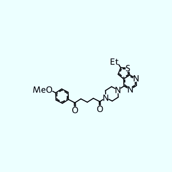 CCc1cc2c(N3CCN(C(=O)CCCC(=O)c4ccc(OC)cc4)CC3)ncnc2s1